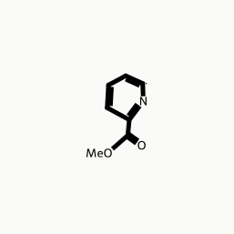 COC(=O)c1ccc[c]n1